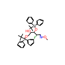 CON=C[C@@H](F)[C@H](O[Si](c1ccccc1)(c1ccccc1)C(C)(C)C)[C@H](O)CO[Si](c1ccccc1)(c1ccccc1)C(C)(C)C